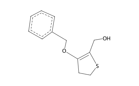 OCC1=C(OCc2ccccc2)CCS1